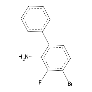 Nc1c(-c2ccccc2)ccc(Br)c1F